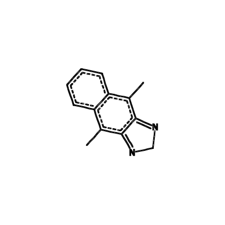 Cc1c2c(c(C)c3ccccc13)=NCN=2